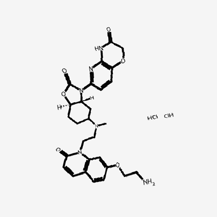 CN(CCn1c(=O)ccc2ccc(OCCN)cc21)C1CC[C@H]2OC(=O)N(c3ccc4c(n3)NC(=O)CO4)[C@@H]2C1.Cl.Cl